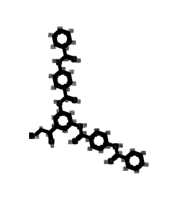 O=C(CBr)c1cc(OC(=O)c2ccc(OC(=O)c3ccccc3)cc2)cc(OC(=O)c2ccc(OC(=O)c3ccccc3)cc2)c1